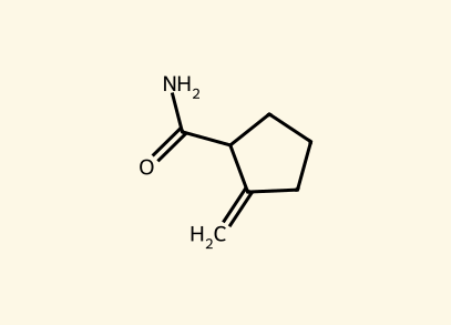 C=C1CCCC1C(N)=O